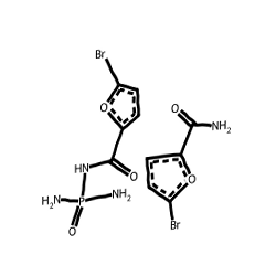 NC(=O)c1ccc(Br)o1.NP(N)(=O)NC(=O)c1ccc(Br)o1